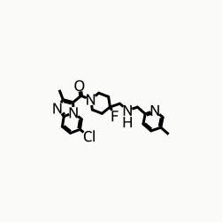 Cc1ccc(CNCC2(F)CCN(C(=O)c3c(C)nc4ccc(Cl)cn34)CC2)nc1